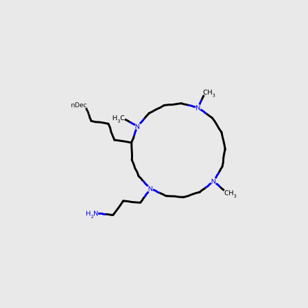 CCCCCCCCCCCCCC1CCN(CCCN)CCCN(C)CCCCN(C)CCCN1C